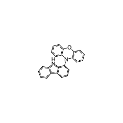 c1ccc2c(c1)Oc1ccccc1N2c1cccc2c1[nH]c1ccccc12